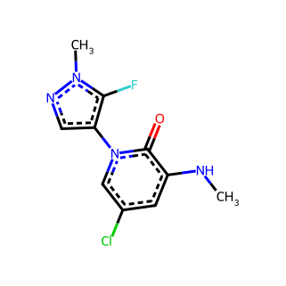 CNc1cc(Cl)cn(-c2cnn(C)c2F)c1=O